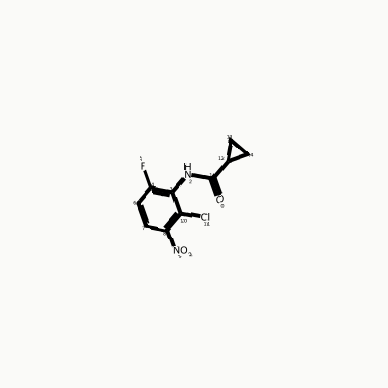 O=C(Nc1c(F)ccc([N+](=O)[O-])c1Cl)C1CC1